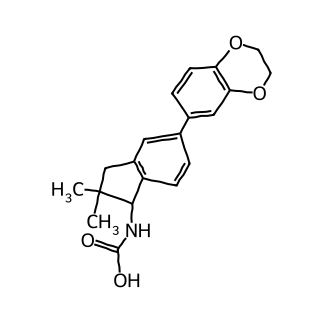 CC1(C)Cc2cc(-c3ccc4c(c3)OCCO4)ccc2C1NC(=O)O